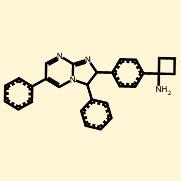 NC1(c2ccc(C3N=C4N=CC(c5ccccc5)=CN4C3c3ccccc3)cc2)CCC1